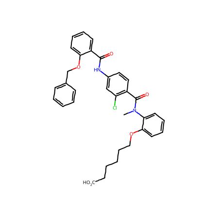 CN(C(=O)c1ccc(NC(=O)c2ccccc2OCc2ccccc2)cc1Cl)c1ccccc1OCCCCCC(=O)O